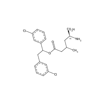 CC(CC(=O)OC(Cc1cccc(Cl)c1)c1cccc(Cl)c1)C[C@H](N)C(=O)O